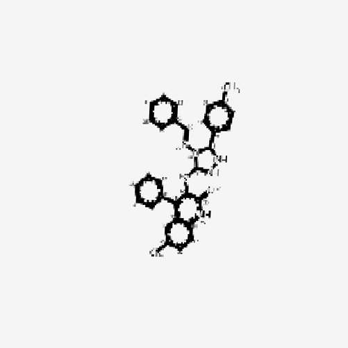 Cc1ccc(C2NNC(Sc3c(-c4ccccc4)c4cc(Cl)ccc4[nH]c3=O)N2/N=C/c2ccccc2)cc1